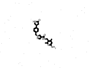 Cc1cc(N)nc(C)c1CNC(=O)c1cnn(Cc2ccc(C3CNC(=O)C3)cc2)c1